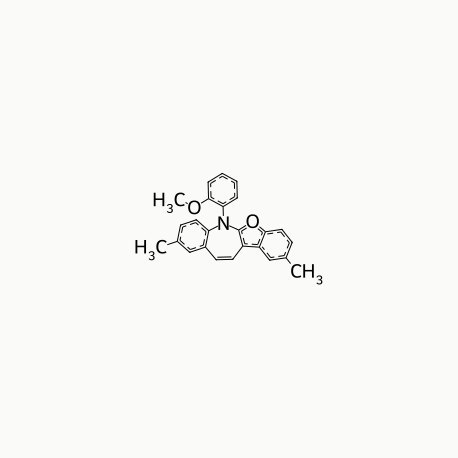 COc1ccccc1N1c2ccc(C)cc2C=Cc2c1oc1ccc(C)cc21